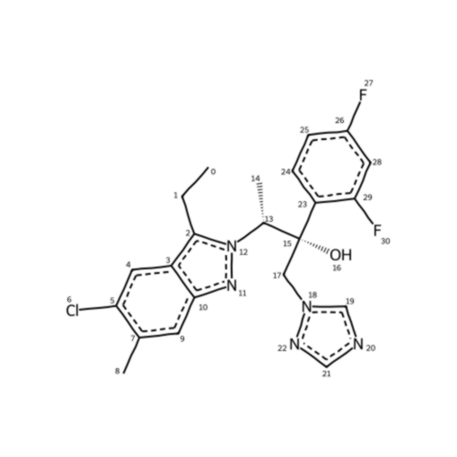 CCc1c2cc(Cl)c(C)cc2nn1[C@H](C)[C@](O)(Cn1cncn1)c1ccc(F)cc1F